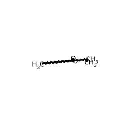 CCCCCCCC=CCCCCCCCCC(=O)OCCCCCC(C)C